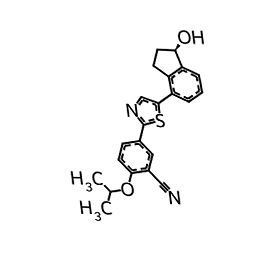 CC(C)Oc1ccc(-c2ncc(-c3cccc4c3CC[C@H]4O)s2)cc1C#N